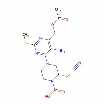 CSc1nc(COC(C)=O)c(N)c(N2CCN(C(=O)O)[C@@H](CC#N)C2)n1